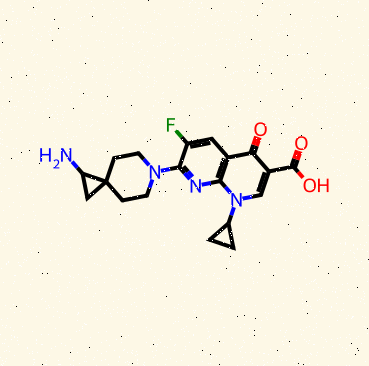 NC1CC12CCN(c1nc3c(cc1F)c(=O)c(C(=O)O)cn3C1CC1)CC2